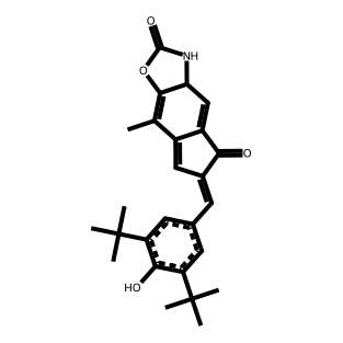 CC1=C2OC(=O)NC2C=C2C(=O)C(=Cc3cc(C(C)(C)C)c(O)c(C(C)(C)C)c3)C=C21